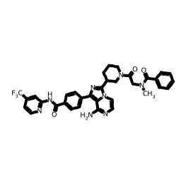 CN(CC(=O)N1CCCC(c2nc(-c3ccc(C(=O)Nc4cc(C(F)(F)F)ccn4)cc3)c3c(N)nccn23)C1)C(=O)c1ccccc1